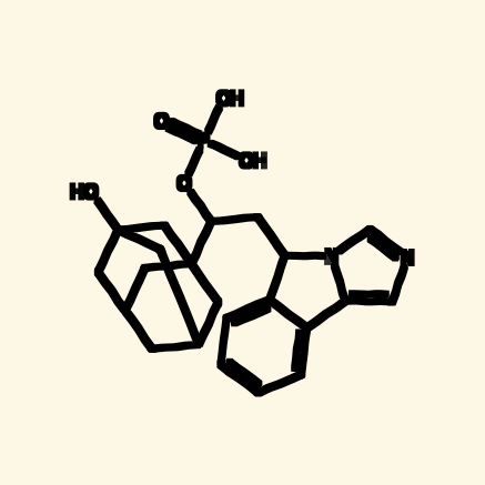 O=P(O)(O)OC(CC1c2ccccc2-c2cncn21)C12CC3CC(CC(O)(C3)C1)C2